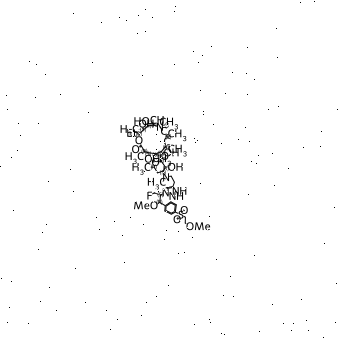 CC[C@H]1OC(=O)[C@H](C)[C@@H](O)[C@H](C)[C@@H](O[C@@H]2O[C@H](C)C[C@H](N(C)CCC3=CN([C@H](CF)[C@H](OC)c4ccc(S(=O)(=O)CCOC)cc4)NN3)[C@H]2O)[C@](C)(O)C[C@@H](C)CN(C)[C@H](C)[C@@H](O)[C@]1(C)O